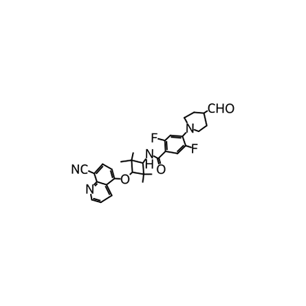 CC1(C)C(NC(=O)c2cc(F)c(N3CCC(C=O)CC3)cc2F)C(C)(C)C1Oc1ccc(C#N)c2ncccc12